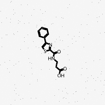 O=C(O)CCNC(=O)c1nc(-c2ccccc2)cs1